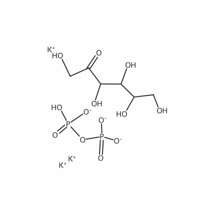 O=C(CO)C(O)C(O)C(O)CO.O=P([O-])([O-])OP(=O)([O-])O.[K+].[K+].[K+]